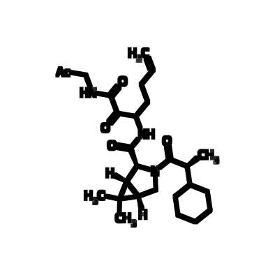 C=CCCC(NC(=O)[C@@H]1[C@@H]2[C@H](CN1C(=O)[C@@H](C)C1CCCCC1)C2(C)C)C(=O)C(=O)NCC(C)=O